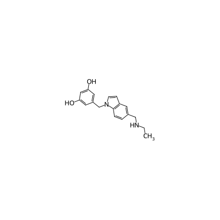 CCNCc1ccc2c(ccn2Cc2cc(O)cc(O)c2)c1